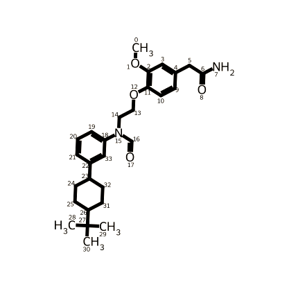 COc1cc(CC(N)=O)ccc1OCCN(C=O)c1cccc(C2CCC(C(C)(C)C)CC2)c1